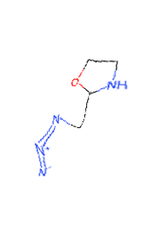 [N-]=[N+]=NCC1NCCO1